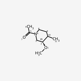 CO[C@H]1CN(C(C)=O)CCC1C